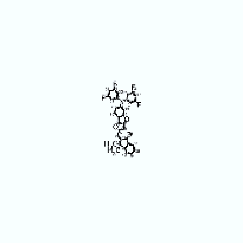 CC1(C)/C(=C/c2cc3oc4cc(N(c5cc(F)cc(F)c5)c5cc(F)cc(F)c5)ccc4c3o2)C(=O)c2ccccc21